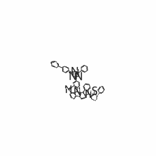 N#Cc1cc(-c2nc(-c3ccccc3)nc(-c3ccc(-c4ccccc4)cc3)n2)ccc1-n1c2ccccc2c2ccc3c(c4ccccc4n3-c3cccc4c3sc3ccccc34)c21